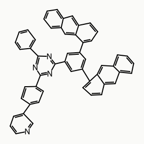 c1ccc(-c2nc(-c3ccc(-c4cccnc4)cc3)nc(-c3cc(-c4cccc5cc6ccccc6cc45)cc(-c4cccc5cc6ccccc6cc45)c3)n2)cc1